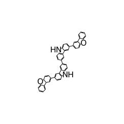 C1=CC2Oc3ccccc3C2C=C1c1ccc2[nH]c3ccc(-c4ccc5[nH]c6ccc(-c7ccc8oc9ccccc9c8c7)cc6c5c4)cc3c2c1